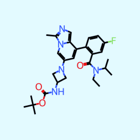 CCN(C(=O)c1cc(F)ccc1-c1cc(N2CC(NC(=O)OC(C)(C)C)C2)cn2c(C)ncc12)C(C)C